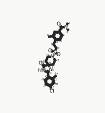 Cc1cc(C(=O)N(C)C)ccc1CCS(=O)(=O)N1CCC2(CC1)N=C(c1ccc(Cl)cc1C)NC2=O